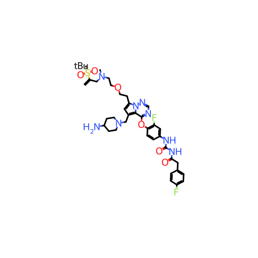 C=C(CN(C)CCOCCc1cc(CN2CCC(N)CC2)c2c(Oc3ccc(NC(=O)NC(=O)Cc4ccc(F)cc4)cc3F)ncnn12)S(=O)(=O)C(C)(C)C